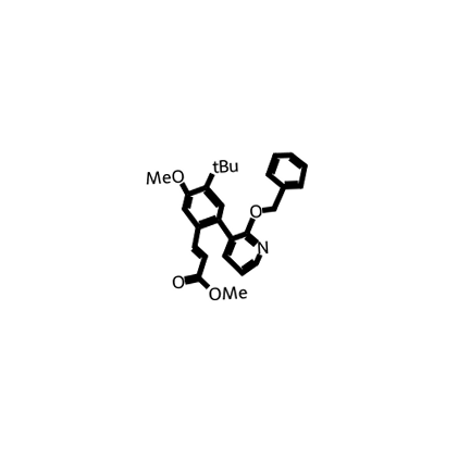 COC(=O)/C=C/c1cc(OC)c(C(C)(C)C)cc1-c1cccnc1OCc1ccccc1